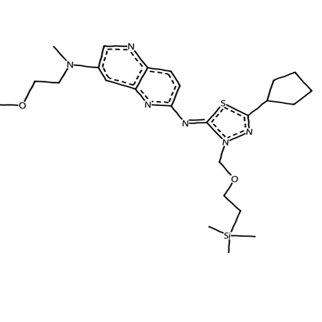 COCCN(C)c1cnc2ccc(/N=c3\sc(C4CCCC4)nn3COCC[Si](C)(C)C)nc2c1